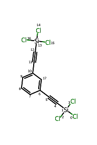 Cl[Si](Cl)(Cl)C#Cc1cccc(C#C[Si](Cl)(Cl)Cl)c1